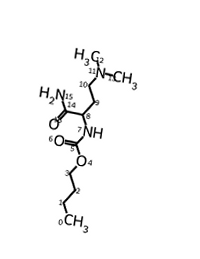 CCCCOC(=O)NC(CCN(C)C)C(N)=O